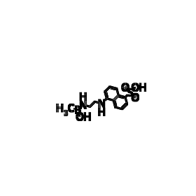 CB(O)NCCNc1cccc2c(S(=O)(=O)O)cccc12